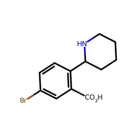 O=C(O)c1cc(Br)ccc1C1CCCCN1